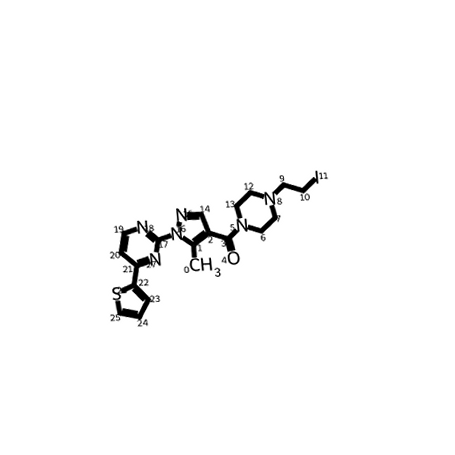 Cc1c(C(=O)N2CCN(CCI)CC2)cnn1-c1nccc(-c2cccs2)n1